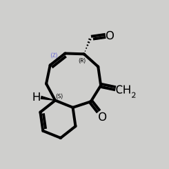 C=C1C[C@@H](C=O)/C=C\C[C@H]2C=CCCC2C1=O